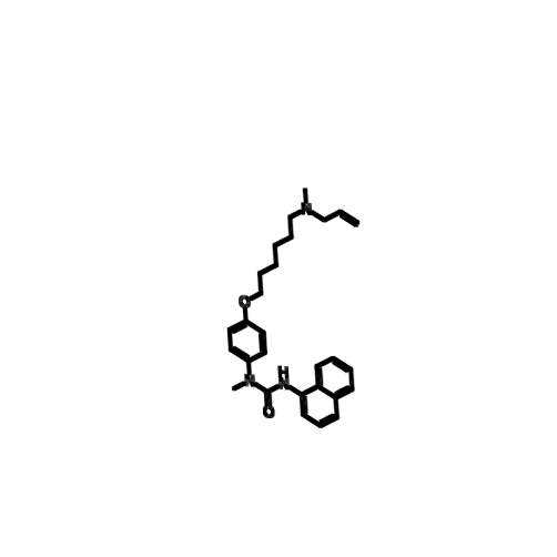 C=CCN(C)CCCCCCOc1ccc(N(C)C(=O)Nc2cccc3ccccc23)cc1